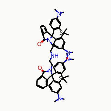 CN(C)c1ccc2c(c1)[Si](C)(C)c1cc(N(C)C)ccc1C21c2ccccc2C(=O)N1CCNCCN1C(=O)c2ccccc2C12c1ccc(N(C)C)cc1[Si](C)(C)c1cc(N(C)C)ccc12